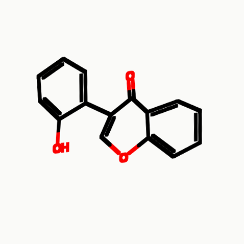 O=c1c(-c2ccccc2O)coc2ccccc12